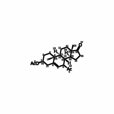 CC(=O)O[C@H]1CC[C@@]2(C)C(=CC(C(C)=O)[C@@H]3[C@@H]2CC[C@]2(C)C(=O)CC[C@@H]32)C1